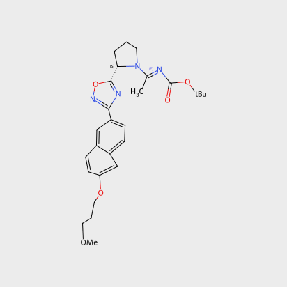 COCCCOc1ccc2cc(-c3noc([C@@H]4CCCN4/C(C)=N/C(=O)OC(C)(C)C)n3)ccc2c1